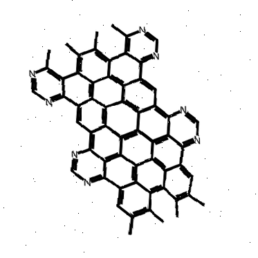 Cc1cc2c3ncnc4c5cc6c7ncnc(C)c7c7c(C)c(C)c8c9c(C)ncnc9c9cc%10c%11ncnc%12c%13cc(C)c(C)c%14c(c1C)c2c1c(c34)c2c5c3c6c7c8c9c3c%10c2c(c%12%11)c1c%13%14